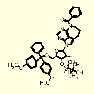 COc1ccc(C(OC[C@H]2O[C@@H](n3cc4c5c(ncnc53)N(C(=O)c3ccccc3)CCC4)[C@H](F)[C@@H]2O[Si](C)(C)C(C)(C)C)(c2ccccc2)c2ccc(OC)cc2)cc1